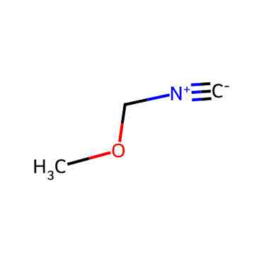 [C-]#[N+]COC